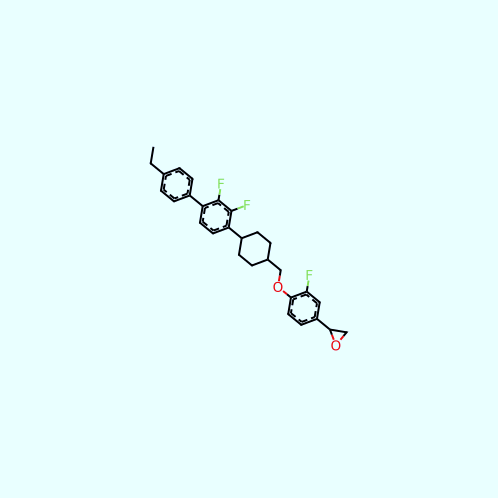 CCc1ccc(-c2ccc(C3CCC(COc4ccc(C5CO5)cc4F)CC3)c(F)c2F)cc1